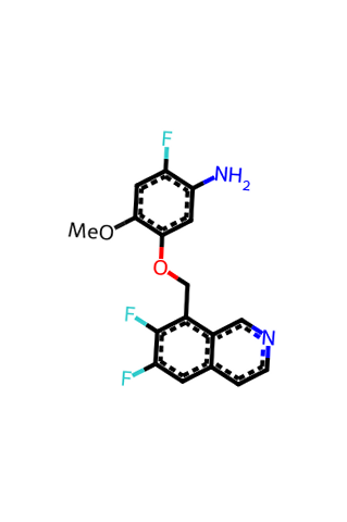 COc1cc(F)c(N)cc1OCc1c(F)c(F)cc2ccncc12